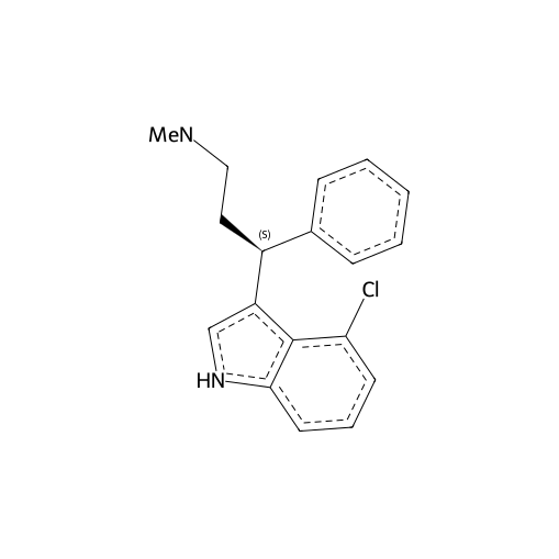 CNCC[C@@H](c1ccccc1)c1c[nH]c2cccc(Cl)c12